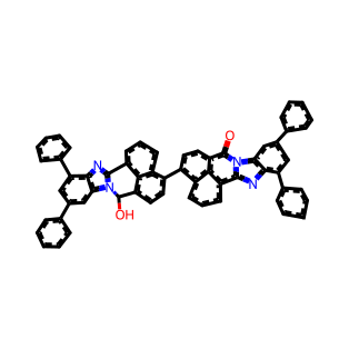 O=c1c2ccc(-c3ccc4c5c(cccc35)-c3nc5c(-c6ccccc6)cc(-c6ccccc6)cc5n3C4O)c3cccc(c32)c2nc3c(-c4ccccc4)cc(-c4ccccc4)cc3n12